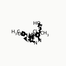 COc1ccc(CN(c2nc(Nc3cc(C#N)cc(C(C)CCN4CC(O)C4)c3Cl)nn3c(C#N)cnc23)C2CC2)cc1